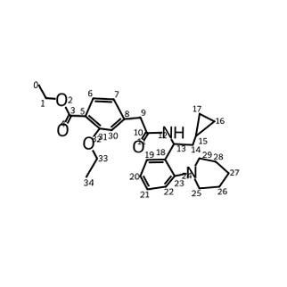 CCOC(=O)c1ccc(CC(=O)NC(CC2CC2)c2ccccc2N2CCCCC2)cc1OCC